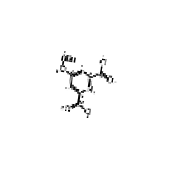 CCCCOc1cc(C(=O)Cl)nc(C(=O)Cl)c1